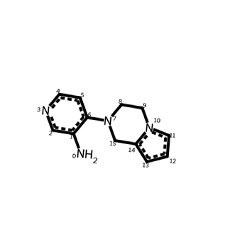 Nc1cnccc1N1CCn2cccc2C1